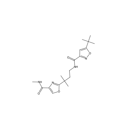 CNC(=O)c1coc(C(C)(C)CCNC(=O)c2cc(C(C)(C)C)on2)n1